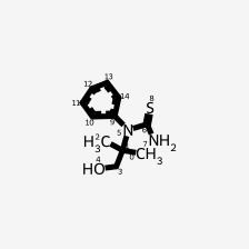 CC(C)(CO)N(C(N)=S)c1ccccc1